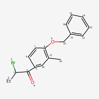 CCC(Br)C(=O)c1ccc(OCc2ccccc2)c(C)c1